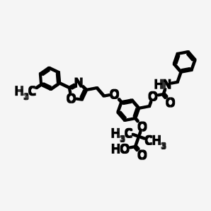 Cc1cccc(-c2nc(CCOc3ccc(OC(C)(C)C(=O)O)c(COC(=O)NCc4ccccc4)c3)co2)c1